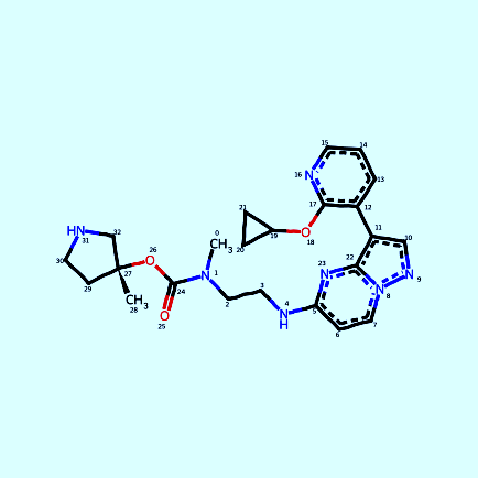 CN(CCNc1ccn2ncc(-c3cccnc3OC3CC3)c2n1)C(=O)O[C@]1(C)CCNC1